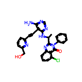 CC(Nc1ncnc(N)c1C#Cc1cccc(CO)n1)c1nc2cccc(Cl)c2c(=O)n1-c1ccccc1